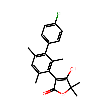 Cc1cc(C)c(-c2ccc(Cl)cc2)c(C)c1C1=C(O)C(C)(C)OC1=O